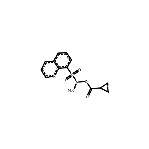 CN(OC(=O)C1CC1)S(=O)(=O)c1cccc2cccnc12